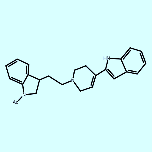 CC(=O)N1CC(CCN2CC=C(c3cc4ccccc4[nH]3)CC2)c2ccccc21